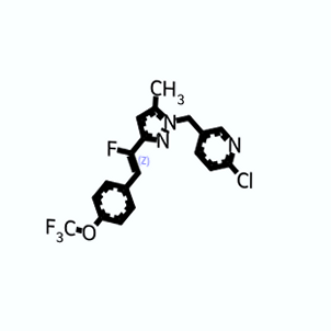 Cc1cc(/C(F)=C/c2ccc(OC(F)(F)F)cc2)nn1Cc1ccc(Cl)nc1